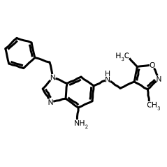 Cc1noc(C)c1CNc1cc(N)c2ncn(Cc3ccccc3)c2c1